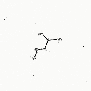 CCCC(CCC)CNN